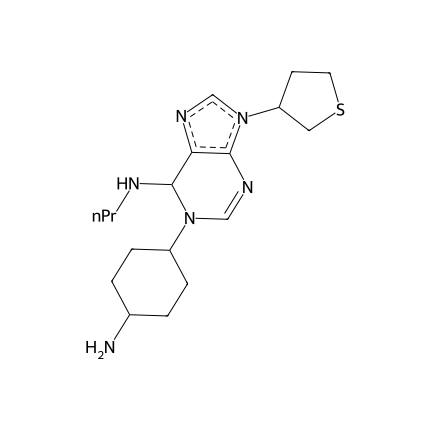 CCCNC1c2ncn(C3CCSC3)c2N=CN1C1CCC(N)CC1